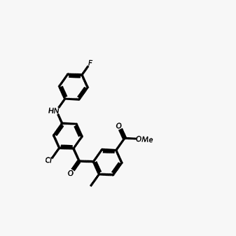 COC(=O)c1ccc(C)c(C(=O)c2ccc(Nc3ccc(F)cc3)cc2Cl)c1